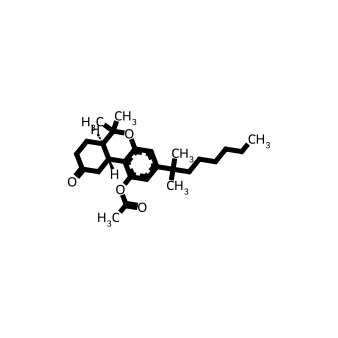 CCCCCCC(C)(C)c1cc(OC(C)=O)c2c(c1)OC(C)(C)[C@@H]1CCC(=O)C[C@@H]21